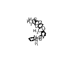 Cc1c(OC2CCC3(CC2)OCC(C)(C)CO3)ccnc1C[S+]([O-])c1nc2ccccc2[nH]1